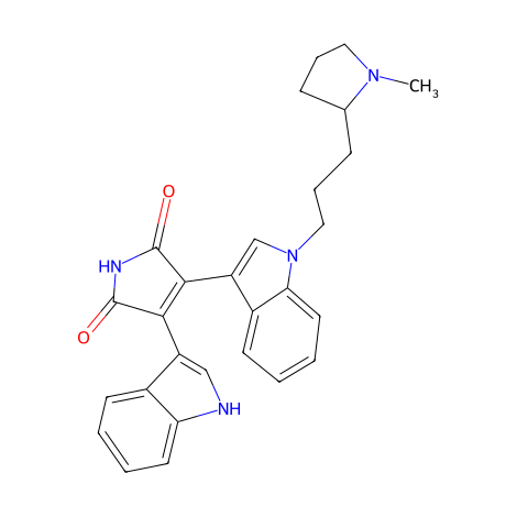 CN1CCCC1CCCn1cc(C2=C(c3c[nH]c4ccccc34)C(=O)NC2=O)c2ccccc21